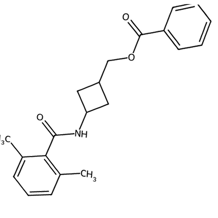 Cc1cccc(C)c1C(=O)NC1CC(COC(=O)c2ccccc2)C1